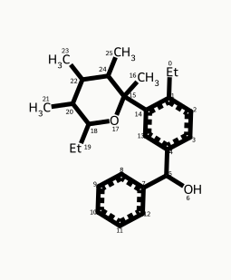 CCc1ccc(C(O)c2ccccc2)cc1C1(C)OC(CC)C(C)C(C)C1C